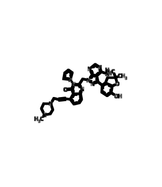 CN1CCN(CC#Cc2cccc3nc(Cn4nc(-c5ccc(O)c6c5CC(C)(C)O6)c5c(N)ncnc54)n(-n4cccc4)c(=O)c23)CC1